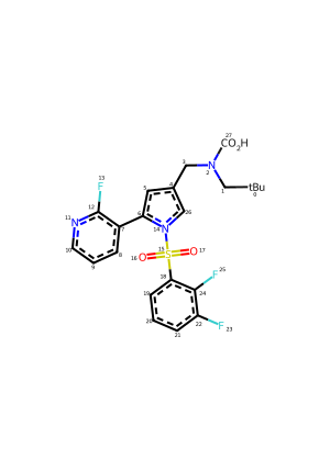 CC(C)(C)CN(Cc1cc(-c2cccnc2F)n(S(=O)(=O)c2cccc(F)c2F)c1)C(=O)O